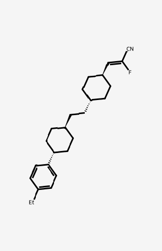 CCc1ccc([C@H]2CC[C@H](CC[C@H]3CC[C@H](C=C(F)C#N)CC3)CC2)cc1